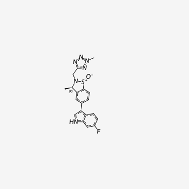 C[C@@H]1c2cc(-c3c[nH]c4cc(F)ccc34)ccc2[S+]([O-])N1Cc1nnn(C)n1